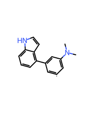 CN(C)c1c[c]cc(-c2cccc3[nH]ccc23)c1